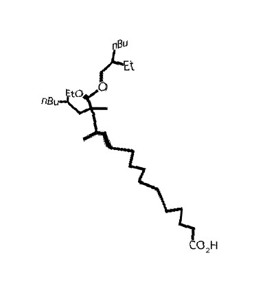 CCCCC(CC)COC(=O)C(C)(CC(CC)CCCC)C(C)CCCCCCCCCCCC(=O)O